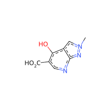 Cn1cc2c(O)c(C(=O)O)cnc2n1